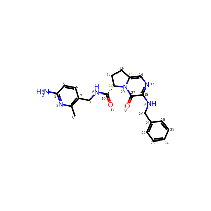 Cc1nc(N)ccc1CNC(=O)[C@@H]1CCc2cnc(NCc3ccccc3)c(=O)n21